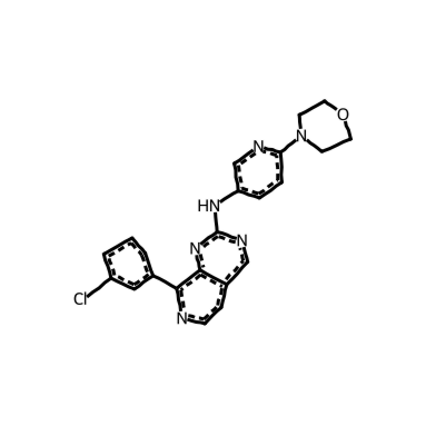 Clc1cccc(-c2nccc3cnc(Nc4ccc(N5CCOCC5)nc4)nc23)c1